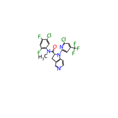 CN(C(=O)[C@@H]1Cc2cnccc2N1c1cc(C(F)(F)F)cc(Cl)n1)c1cc(Cl)c(F)cc1F